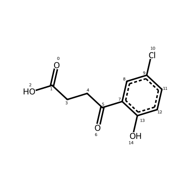 O=C(O)CCC(=O)c1cc(Cl)ccc1O